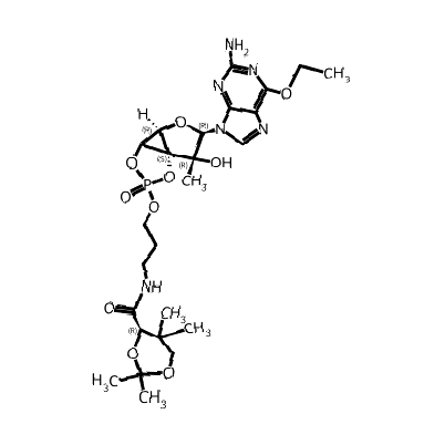 CCOc1nc(N)nc2c1ncn2[C@@H]1O[C@@H]2C3OP(=O)(OCCCNC(=O)[C@@H]4OC(C)(C)OCC4(C)C)O[C@]32[C@@]1(C)O